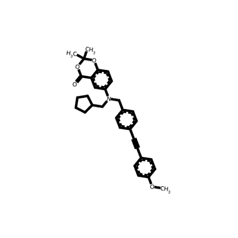 COc1ccc(C#Cc2ccc(CN(CC3CCCC3)c3ccc4c(c3)C(=O)OC(C)(C)O4)cc2)cc1